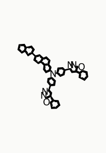 c1ccc2cc(-c3ccc4c(ccc5cc(N(c6ccc(-c7cc8c(nn7)oc7ccccc78)cc6)c6ccc(-c7cc8c(nn7)oc7ccccc78)cc6)ccc54)c3)ccc2c1